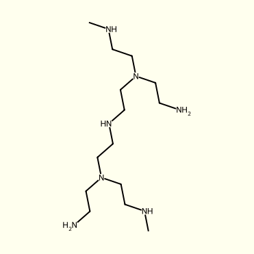 CNCCN(CCN)CCNCCN(CCN)CCNC